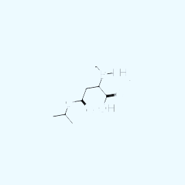 CC(C)OC(=O)CC(B(P)I)C(=O)O